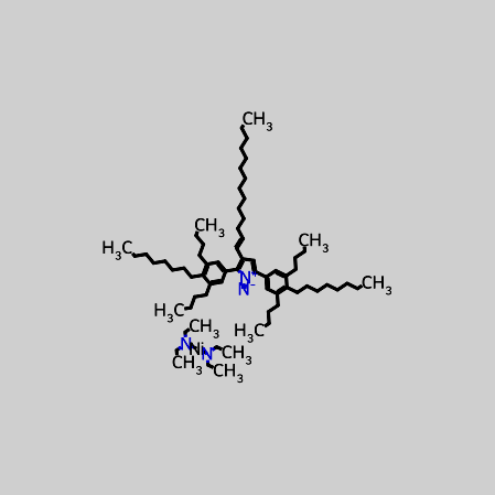 CCCCCCCCCCCCC=CC1=C(c2cc(CCCC)c(CCCCCCCC)c(CCCC)c2)[N+](=[N-])C(c2cc(CCCC)c(CCCCCCCC)c(CCCC)c2)=C1.CC[N](CC)[Ni][N](CC)CC